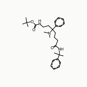 CN(C)C(CCCC(=O)NC(C)(C)c1ccccc1)(CCNC(=O)OC(C)(C)C)c1ccccc1